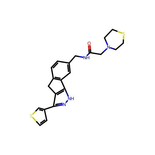 O=C(CN1CCSCC1)NCc1ccc2c(c1)-c1[nH]nc(-c3ccsc3)c1C2